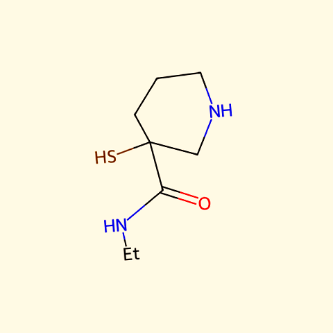 CCNC(=O)C1(S)CCCNC1